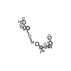 CN(CCCOCCCc1cccc2c1n(C)c(=O)n2C1CCC(=O)NC1=O)C[C@H]1CC[C@H](n2cc(NC(=O)c3cnn4ccc(N5CCOCC5)nc34)c(C(F)F)n2)CC1